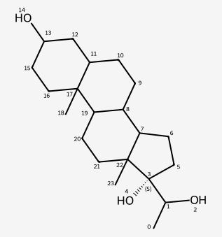 CC(O)[C@]1(O)CCC2C3CCC4CC(O)CCC4(C)C3CCC21C